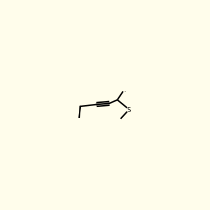 [CH2]C(C#CCC)SC